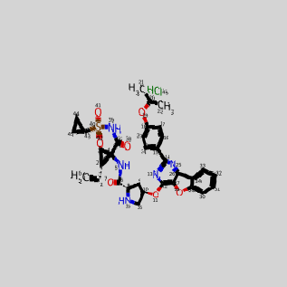 C=C[C@@H]1CC1(NC(=O)[C@@H]1C[C@@H](Oc2nc(-c3ccc(OC(C)C)cc3)nc3c2oc2ccccc23)CN1)C(=O)NS(=O)(=O)C1CC1.Cl